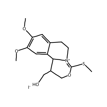 COc1cc2c(cc1OC)C1C(CO)COC(SC)=[N+]1CC2.[I-]